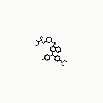 CCC(C)C(=O)OC1CCCC(Nc2ccc(C(c3ccc(C)cc3)c3ccc(N(CC)CC)cc3)c3ccccc23)C1